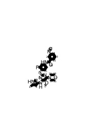 COc1c(Nc2cc(C)[nH]n2)nc(Sc2ccc(NC(=O)c3cccc(N=O)c3)cc2F)nc1N1CCOCC1